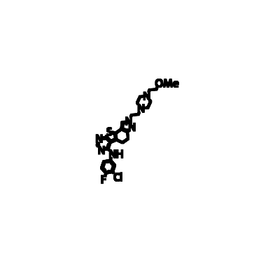 COCCN1CCN(CCn2cc3c(n2)CCc2c-3sc3ncnc(Nc4ccc(F)c(Cl)c4)c23)CC1